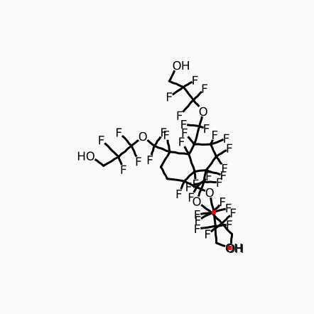 OCC(F)(F)C(F)(F)OC(F)(F)C1(F)CCC(F)(C(F)(F)OC(F)(F)C(F)(F)CO)C2(F)C(F)(C(F)(F)OC(F)(F)C(F)(F)CO)C(F)(F)C(F)(F)C(F)(C(F)(F)OC(F)(F)C(F)(F)CO)C12F